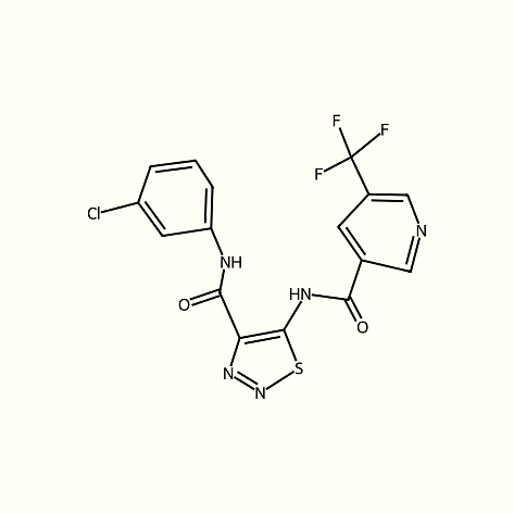 O=C(Nc1snnc1C(=O)Nc1cccc(Cl)c1)c1cncc(C(F)(F)F)c1